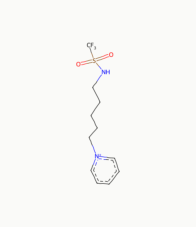 O=S(=O)(NCCCCC[n+]1ccccc1)C(F)(F)F